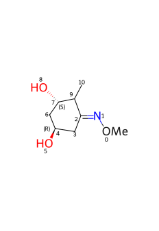 CON=C1C[C@@H](O)C[C@H](O)C1C